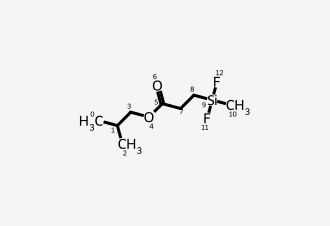 CC(C)COC(=O)CC[Si](C)(F)F